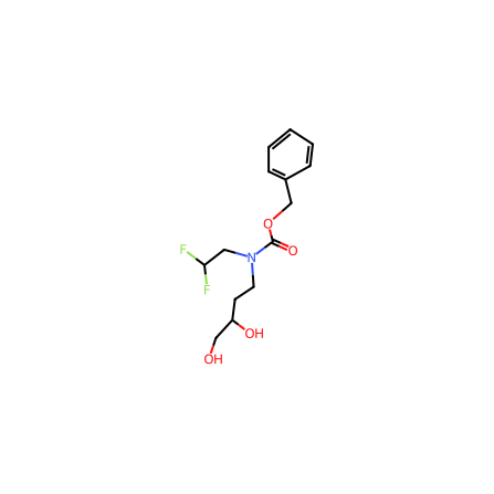 O=C(OCc1ccccc1)N(CCC(O)CO)CC(F)F